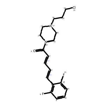 O=C(/C=C/C=C/c1c(F)cccc1F)N1CCN(CCCCl)CC1